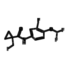 O=C(Nc1ccc(OC(F)F)c(F)c1)C1(CI)CC1